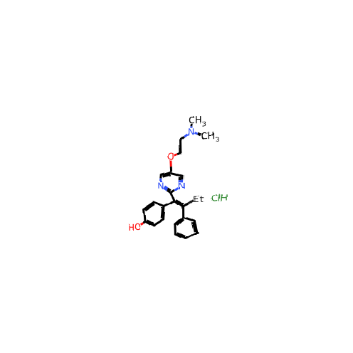 CCC(=C(c1ccc(O)cc1)c1ncc(OCCN(C)C)cn1)c1ccccc1.Cl